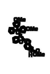 COC(=O)c1cc2c3c(ccc2[nH]1)N(C(=O)CN(COC(c1ccccc1)(c1ccc(OC)cc1)c1ccc(OC)cc1)c1ccccc1)CC3